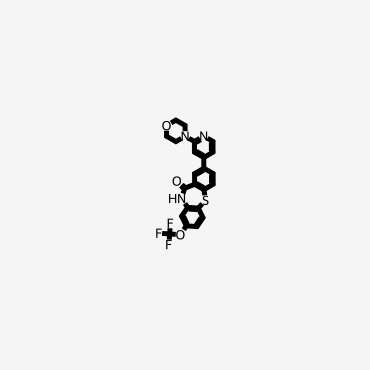 O=C1Nc2cc(OC(F)(F)F)ccc2Sc2ccc(-c3ccnc(N4CCOCC4)c3)cc21